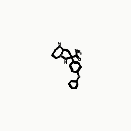 NC(=O)C1(c2ccc(Oc3ccccc3)cc2)C=C2NCCCN2N1